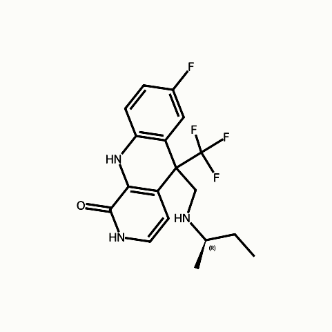 CC[C@@H](C)NCC1(C(F)(F)F)c2cc(F)ccc2Nc2c1cc[nH]c2=O